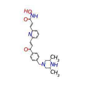 CC1CN(Cc2ccc(C(=O)C=Cc3cccc(C=CC(=O)NO)n3)cc2)CC(C)N1